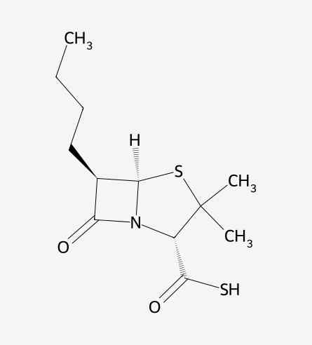 CCCC[C@@H]1C(=O)N2[C@@H]1SC(C)(C)[C@@H]2C(=O)S